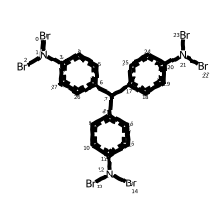 BrN(Br)c1ccc(C(c2ccc(N(Br)Br)cc2)c2ccc(N(Br)Br)cc2)cc1